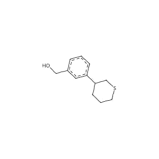 OCc1cccc(C2CCCSC2)c1